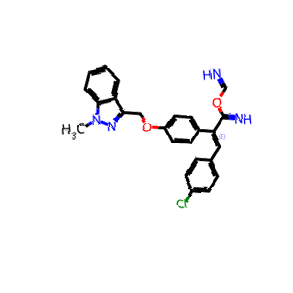 Cn1nc(COc2ccc(/C(=C\c3ccc(Cl)cc3)C(=N)OC=N)cc2)c2ccccc21